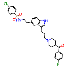 O=C(c1ccc(F)cc1)C1CCN(CCCc2c[nH]c3ccc(CCNS(=O)(=O)c4ccc(Cl)cc4)cc23)CC1